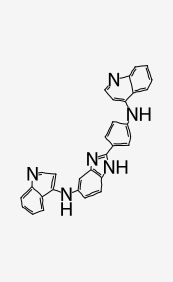 c1ccc2c(Nc3ccc(-c4nc5cc(Nc6ccnc7ccccc67)ccc5[nH]4)cc3)ccnc2c1